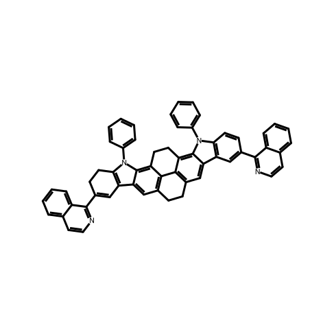 C1=C(c2nccc3ccccc23)CCc2c1c1cc3c4c(c1n2-c1ccccc1)CCc1c-4c(cc2c4cc(-c5nccc6ccccc56)ccc4n(-c4ccccc4)c12)CC3